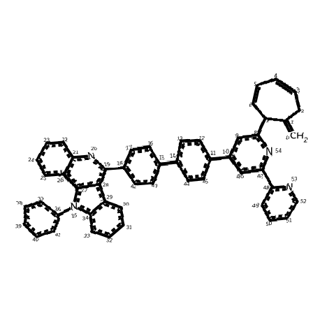 C=C1CC=CC=CC1c1cc(-c2ccc(-c3ccc(-c4nc5ccccc5c5c4c4ccccc4n5-c4ccccc4)cc3)cc2)cc(-c2ccccn2)n1